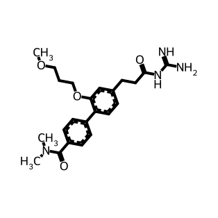 COCCCOc1cc(CCC(=O)NC(=N)N)ccc1-c1ccc(C(=O)N(C)C)cc1